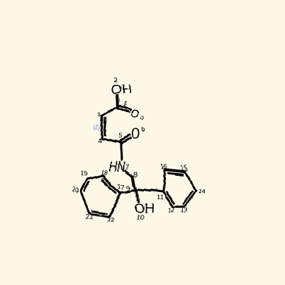 O=C(O)/C=C\C(=O)NCC(O)(c1ccccc1)c1ccccc1